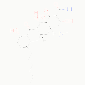 CCCCCCc1ccc(O)c2c1C[C@H]1C[C@H]3[C@@H](N(C)C)C(O)=C(C(N)=O)C(=O)[C@]3(O)C(O)=C1C2=O